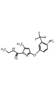 CCNC(=O)n1nc(Oc2ccc(N)c(C(F)(F)F)c2)cc1C